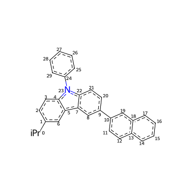 CC(C)c1ccc2c(c1)c1cc(-c3ccc4ccccc4c3)ccc1n2-c1ccccc1